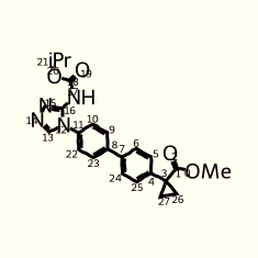 COC(=O)C1(c2ccc(-c3ccc(-n4cnnc4NC(=O)OC(C)C)cc3)cc2)CC1